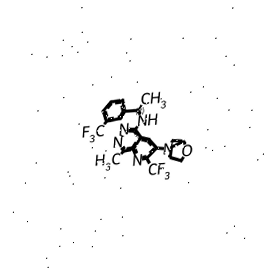 Cc1nnc(N[C@H](C)c2cccc(C(F)(F)F)c2)c2cc(N3CC4CC3CO4)c(C(F)(F)F)nc12